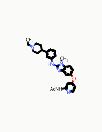 CC(=O)Nc1cc(Oc2ccc3c(c2)nc(Nc2cccc(C4CCN(CC(F)(F)F)CC4)c2)n3C)ccn1